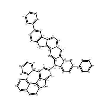 c1ccc(-c2ccc3oc4c5cc6c(cc5ccc4c3c2)c2cc(-c3ccccc3)ccc2n6-c2nc(-c3ccccc3)c3c(n2)sc2ccc4ccccc4c23)cc1